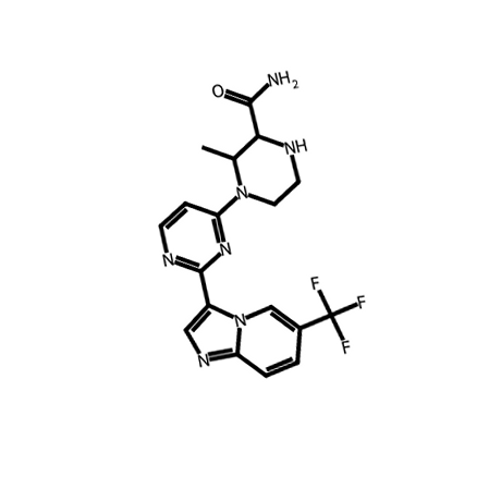 CC1C(C(N)=O)NCCN1c1ccnc(-c2cnc3ccc(C(F)(F)F)cn23)n1